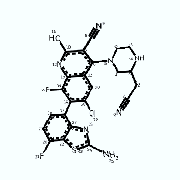 N#CCC1CN(c2c(C#N)c(O)nc3c(F)c(-c4ccc(F)c5sc(N)nc45)c(Cl)cc23)CCN1